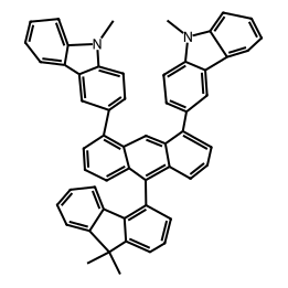 Cn1c2ccccc2c2cc(-c3cccc4c(-c5cccc6c5-c5ccccc5C6(C)C)c5cccc(-c6ccc7c(c6)c6ccccc6n7C)c5cc34)ccc21